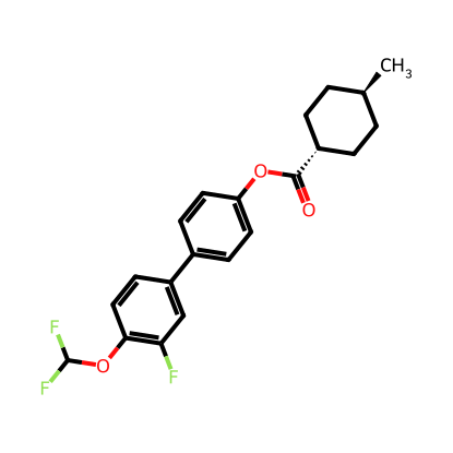 C[C@H]1CC[C@H](C(=O)Oc2ccc(-c3ccc(OC(F)F)c(F)c3)cc2)CC1